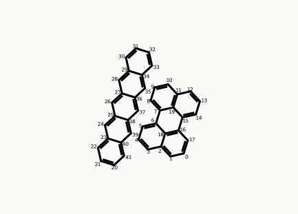 c1cc2cccc3c4cccc5cccc(c(c1)c23)c54.c1ccc2cc3cc4cc5ccccc5cc4cc3cc2c1